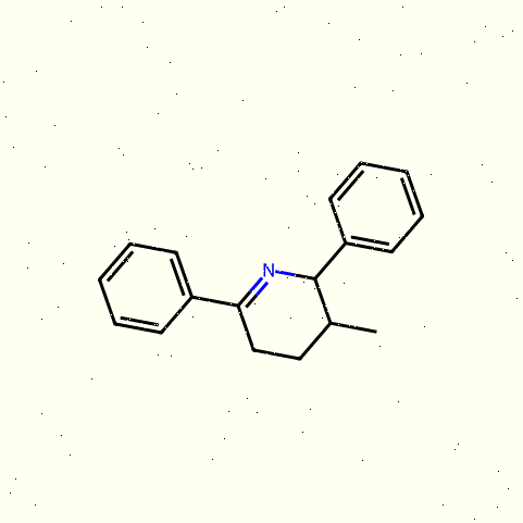 CC1CCC(c2ccccc2)=NC1c1ccccc1